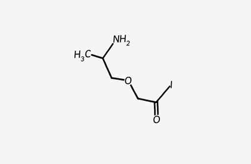 CC(N)COCC(=O)I